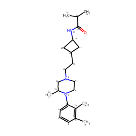 Cc1cccc(N2CCN(CCC3CC(NC(=O)C(C)C)C3)CC2C)c1C